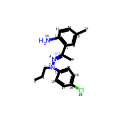 CCCN(/N=C(\C)c1cc(C)ccc1N)c1ccc(Cl)cc1